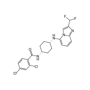 O=C(N[C@H]1CC[C@@H](Nc2cccc3nc(C(F)F)cn23)CC1)c1ccc(Cl)cc1Cl